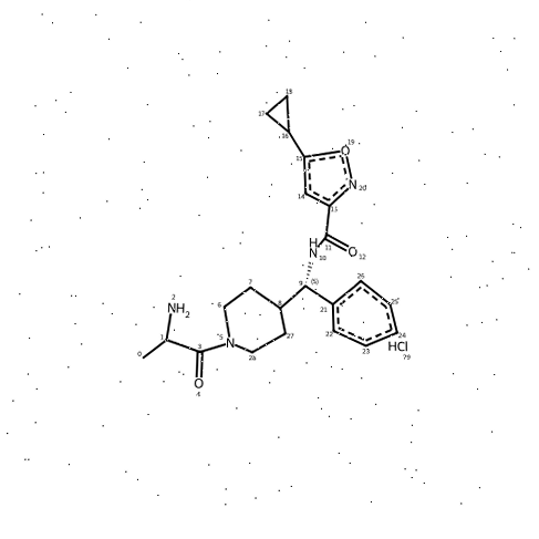 CC(N)C(=O)N1CCC([C@H](NC(=O)c2cc(C3CC3)on2)c2ccccc2)CC1.Cl